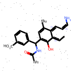 C/C=c1/c(O)c(C(NC(=O)CCC)c2cccc(C(=O)O)c2)cc(C(C)(C)C)/c1=C/C=C\N